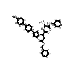 CC(C)(C)C(NC(=O)C(CC(=O)OCc1ccccc1)n1ccc(-c2ccc(-c3ccc(C#N)cc3)cc2)c1)C(=O)Nc1ccncc1